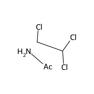 CC(N)=O.ClCC(Cl)Cl